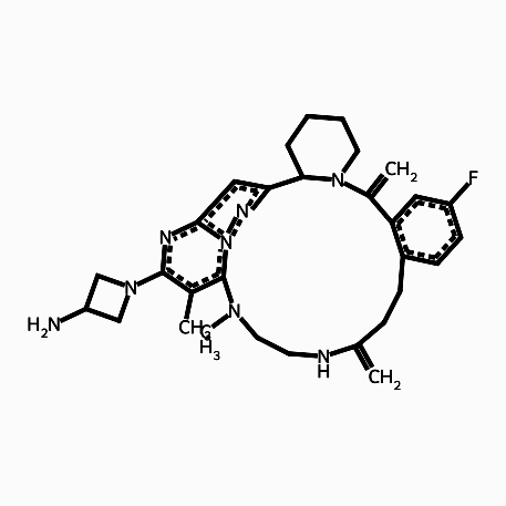 C=C1CCc2ccc(F)cc2C(=C)N2CCCCC2c2cc3nc(N4CC(N)C4)c(C)c(n3n2)N(C)CCN1